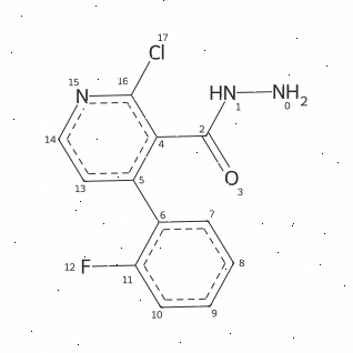 NNC(=O)c1c(-c2ccccc2F)ccnc1Cl